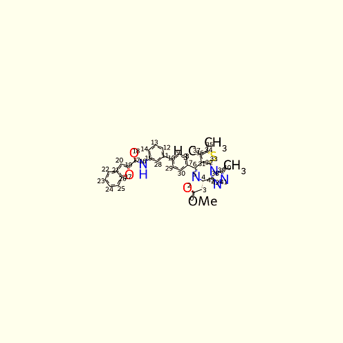 COC(=O)C[C@@H]1N=C(c2ccc(-c3cccc(NC(=O)c4cc5ccccc5o4)c3)cc2)c2c(sc(C)c2C)-n2c(C)nnc21